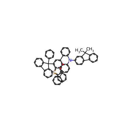 CC1(C)c2ccccc2-c2ccc(N(c3ccc(-c4ccccc4)cc3)c3ccccc3-c3cc(C4(c5ccccc5)c5ccccc5-c5ccccc54)c4sc5ccccc5c4c3)cc21